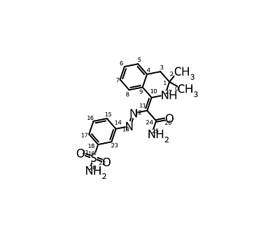 CC1(C)Cc2ccccc2C(=C(N=Nc2cccc(S(N)(=O)=O)c2)C(N)=O)N1